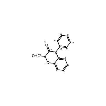 O=CC1Oc2ccccc2C(c2ccccc2)C1=O